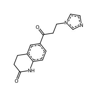 O=C1CCc2cc(C(=O)CCn3ccnc3)ccc2N1